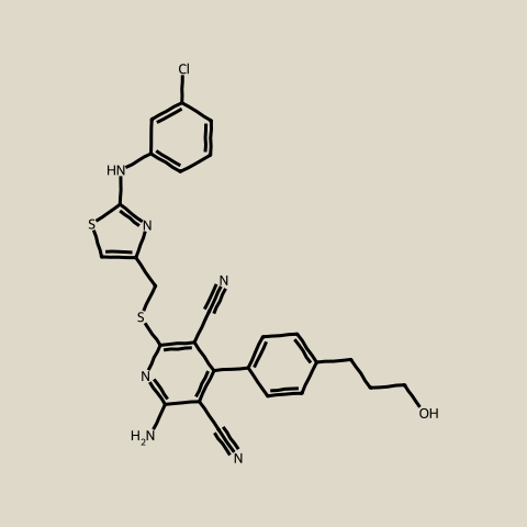 N#Cc1c(N)nc(SCc2csc(Nc3cccc(Cl)c3)n2)c(C#N)c1-c1ccc(CCCO)cc1